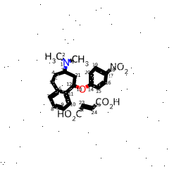 CN(C)C1CCc2ccccc2C(Oc2ccc([N+](=O)[O-])cc2)C1.O=C(O)C=CC(=O)O